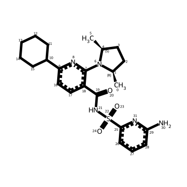 C[C@@H]1CC[C@H](C)N1c1nc(C2CCCCC2)ccc1C(=O)NS(=O)(=O)c1cccc(N)n1